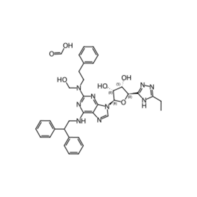 CCc1nnc([C@H]2O[C@@H](n3cnc4c(NCC(c5ccccc5)c5ccccc5)nc(N(CO)CCc5ccccc5)nc43)[C@H](O)[C@@H]2O)[nH]1.O=CO